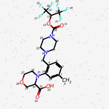 Cc1ccc(CN2CCN(C(=O)OC(C(F)(F)F)C(F)(F)F)CC2)c(N2CCOCC2C(=O)O)c1